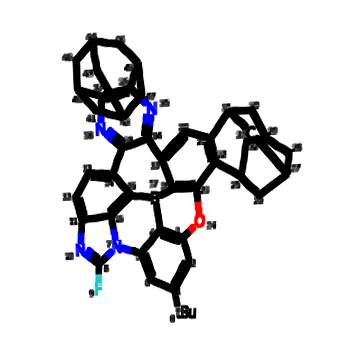 CC(C)(C)c1cc2c3c(c1)-n1c(F)nc4ccc5c(c41)B3c1c(cc3c(c1O2)C1CC2CC(CC3C2)C1)-c1nc2c(nc1-5)C1CC3CC(CC2C3)C1